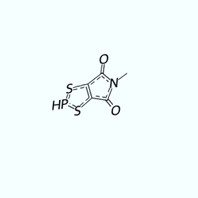 Cn1c(=O)c2s[pH]sc=2c1=O